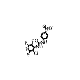 O=C(Nc1ccc([N+](=O)[O-])cc1)Nc1c(F)c(F)nc(F)c1Cl